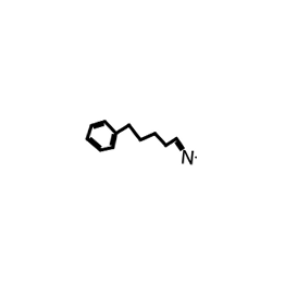 [N]=CCCCCc1ccccc1